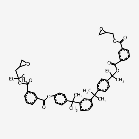 CCC(C)(CC1CO1)OC(=O)c1cccc(C(=O)Oc2ccc(C(C)(C)c3cccc(C(C)(C)c4ccc(C(C)(CC)OC(=O)c5cccc(C(=O)OCC6CO6)c5)cc4)c3)cc2)c1